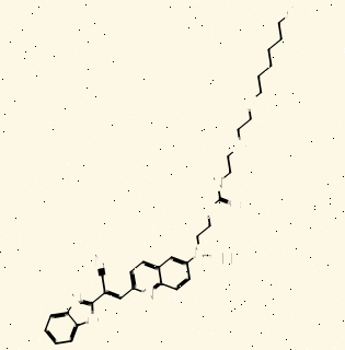 CN(CCOC(=O)NCCOCCOCCCCCCCl)c1ccc2nc(/C=C(\C#N)c3nc4ccccc4o3)ccc2c1